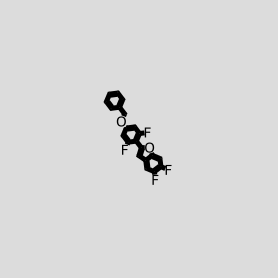 Fc1cc2cc(-c3c(F)cc(OCc4ccccc4)cc3F)oc2cc1F